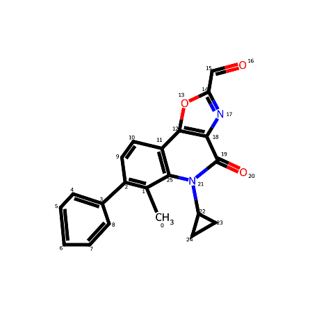 Cc1c(-c2ccccc2)ccc2c3oc(C=O)nc3c(=O)n(C3CC3)c12